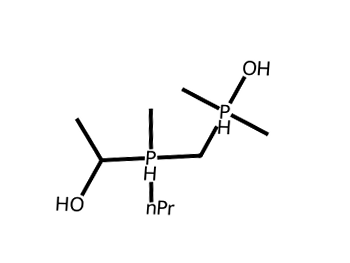 CCC[PH](C)(C[PH](C)(C)O)C(C)O